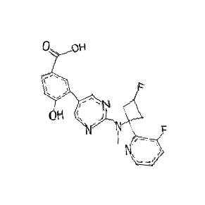 CN(c1ncc(-c2cc(C(=O)O)ccc2O)cn1)C1(c2ncccc2F)CC(F)C1